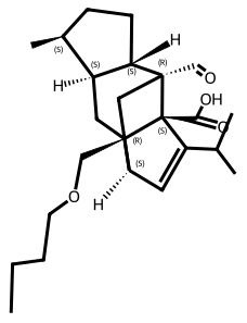 CCCCOC[C@]12C[C@H]3[C@@H](C)CC[C@@H]3[C@]3(C=O)C[C@H]1C=C(C(C)C)[C@]23C(=O)O